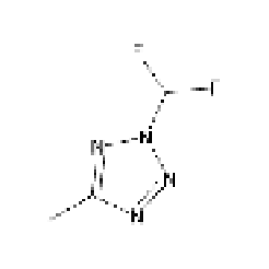 Cc1nnn(C(F)F)n1